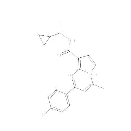 Cc1cc(-c2ccc(F)cc2)nc2c(C(=O)N[C@@H](C)C3CC3)ccn12